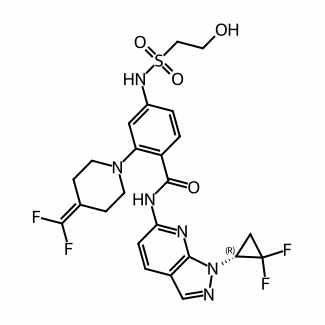 O=C(Nc1ccc2cnn([C@@H]3CC3(F)F)c2n1)c1ccc(NS(=O)(=O)CCO)cc1N1CCC(=C(F)F)CC1